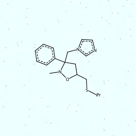 CC(C)SCC1CC(Cn2ccnc2)(c2ccccc2)N(C)O1